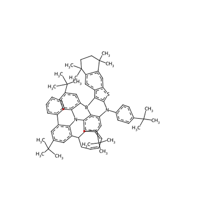 CC(C)(C)c1ccc(N2c3cc(C(C)(C)C)cc4c3B(c3cc(C(C)(C)C)ccc3N4c3c(-c4ccccc4)cc(C(C)(C)C)cc3C3CC=CC=CC3)c3c2sc2cc4c(cc32)C(C)(C)CCC4(C)C)cc1